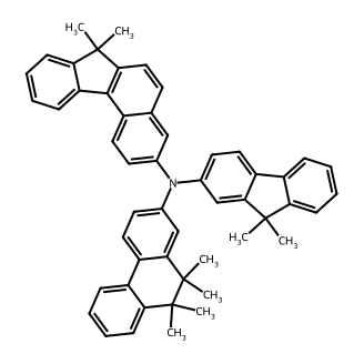 CC1(C)c2ccccc2-c2ccc(N(c3ccc4c(c3)C(C)(C)C(C)(C)c3ccccc3-4)c3ccc4c5c(ccc4c3)C(C)(C)c3ccccc3-5)cc21